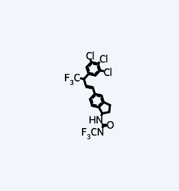 O=C(NC1CCc2cc(/C=C/C(c3cc(Cl)c(Cl)c(Cl)c3)C(F)(F)F)ccc21)NC(F)(F)F